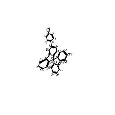 Clc1ccc(-c2ccc3c(c2)-c2ccccc2C32c3ccccc3-c3ccccc32)cc1